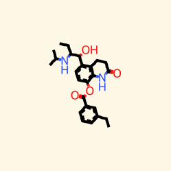 CCc1cccc(C(=O)Oc2ccc(C(O)C(CC)NC(C)C)c3c2NC(=O)CC3)c1